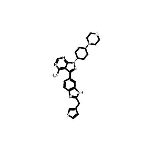 Nc1ncnc2c1c(-c1ccc3nc(Cc4ccsc4)[nH]c3c1)nn2[C@H]1CC[C@H](N2CCOCC2)CC1